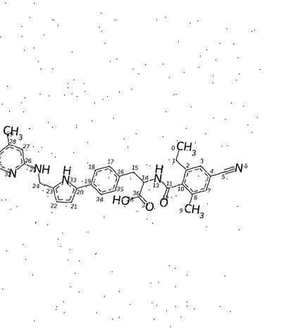 CCc1cc(C#N)cc(C)c1C(=O)NC(Cc1ccc(-c2ccc(CNc3cc(C)ccn3)[nH]2)cc1)C(=O)O